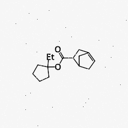 CCC1(OC(=O)C2CC3=CCC2C3)CCCC1